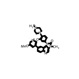 COc1cncc(-c2ccc3ncc4c(c3c2)n(-c2ccc(N3CCN(C)CC3)c(C(F)(F)F)c2)c(=O)n4C)c1